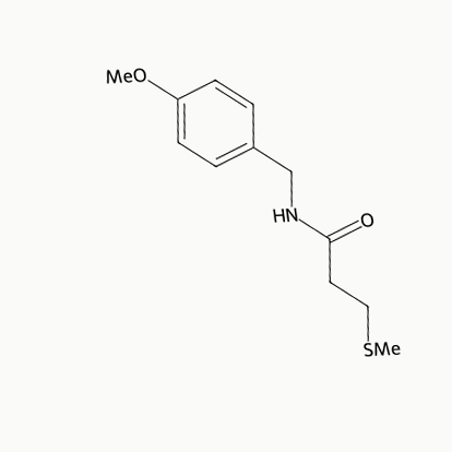 COc1ccc(CNC(=O)CCSC)cc1